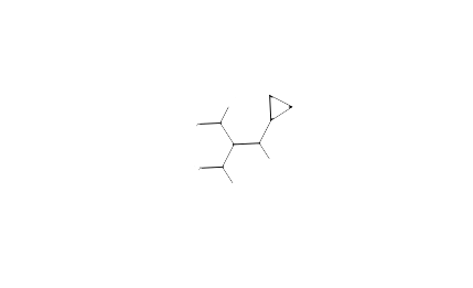 NC(Cl)C(C(N)Cl)C(O)C1CC1